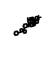 CC(C)(C)OC(=O)[C@H](O)[C@H]1OCCN(c2cccc(C(=O)OCc3ccccc3)c2)C1=O